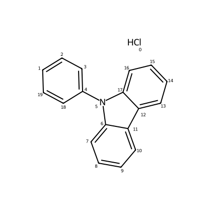 Cl.c1ccc(-n2c3ccccc3c3ccccc32)cc1